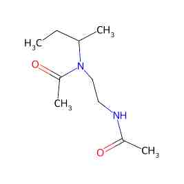 CCC(C)N(CCNC(C)=O)C(C)=O